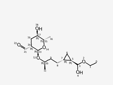 CCOC(O)[C@@H]1C[C@H]1CC[C@@H](C)O[C@@H]1O[C@@H](C)[C@H](O)C[C@H]1C=O